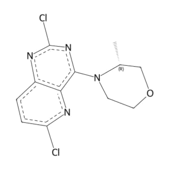 C[C@@H]1COCCN1c1nc(Cl)nc2ccc(Cl)nc12